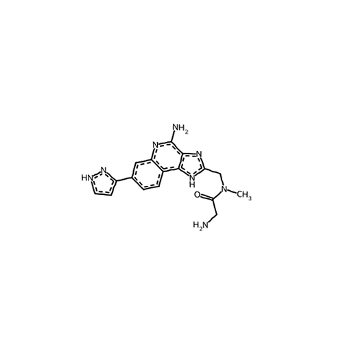 CN(Cc1nc2c(N)nc3cc(-c4cc[nH]n4)ccc3c2[nH]1)C(=O)CN